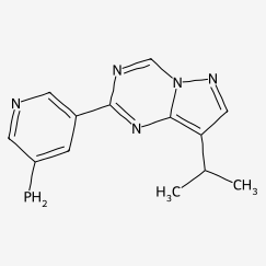 CC(C)c1cnn2cnc(-c3cncc(P)c3)nc12